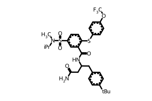 CC(C)N(C)S(=O)(=O)c1ccc(Sc2ccc(OC(F)(F)F)cc2)c(C(=O)NC(CC(N)=O)Cc2ccc(C(C)(C)C)cc2)c1